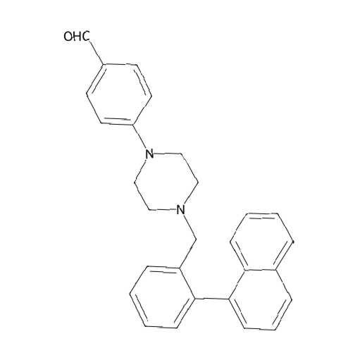 O=Cc1ccc(N2CCN(Cc3ccccc3-c3cccc4ccccc34)CC2)cc1